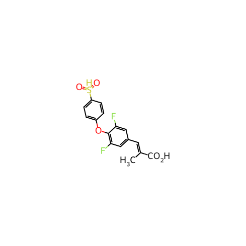 C/C(=C\c1cc(F)c(Oc2ccc([SH](=O)=O)cc2)c(F)c1)C(=O)O